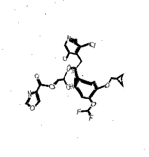 O=C(OCC(O)O[C@@H](Cc1c(Cl)cncc1Cl)c1ccc(OC(F)F)c(OCC2CC2)c1)c1cocn1